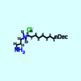 CCCCCCCCCCCCCCCCCC[N+](C)(C)CCCN.[Cl-]